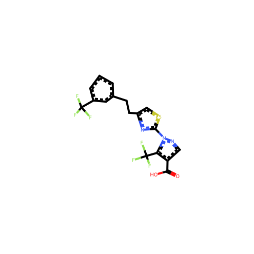 O=C(O)c1cnn(-c2nc(CCc3cccc(C(F)(F)F)c3)cs2)c1C(F)(F)F